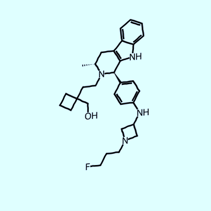 C[C@@H]1Cc2c([nH]c3ccccc23)[C@@H](c2ccc(NC3CN(CCCF)C3)cc2)N1CCC1(CO)CCC1